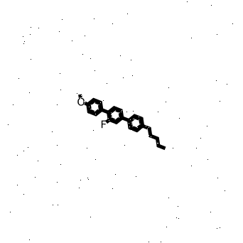 CCCCCc1ccc(-c2ccc(-c3ccc(OC)cc3)c(F)c2)cc1